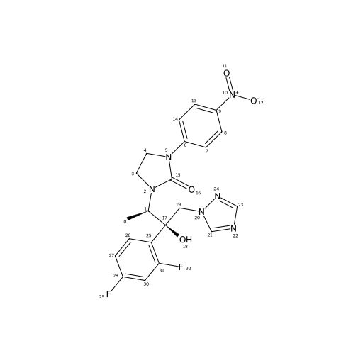 C[C@@H](N1CCN(c2ccc([N+](=O)[O-])cc2)C1=O)[C@](O)(Cn1cncn1)c1ccc(F)cc1F